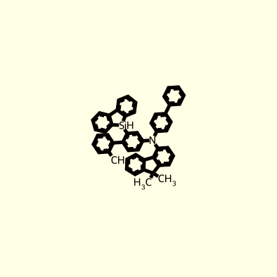 Cc1ccccc1-c1ccc(N(c2ccc(-c3ccccc3)cc2)c2cccc3c2-c2ccccc2C3(C)C)cc1[SiH]1c2ccccc2-c2ccccc21